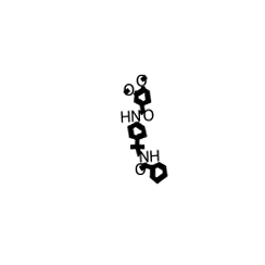 COc1ccc(C(=O)Nc2ccc(C(C)(C)CNC(=O)c3ccccc3)cc2)cc1OC